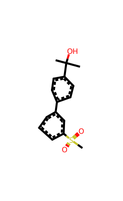 CC(C)(O)c1ccc(-c2cccc(S(C)(=O)=O)c2)cc1